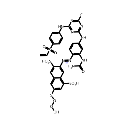 C=CS(=O)(=O)c1ccc(Nc2nc(Cl)nc(Nc3ccc(/N=N/c4cc5c(S(=O)(=O)O)cc(SOOO)cc5cc4S(=O)(=O)O)c(NC(N)=O)c3)n2)cc1